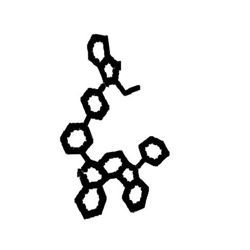 CCc1nc2ccccc2n1-c1ccc(-c2cccc(-c3nc4ccccc4c4c3ccc3c4c4ccccc4n3-c3ccccc3)c2)cc1